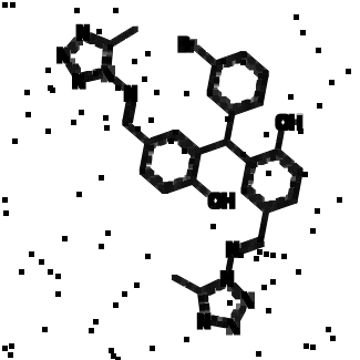 Cc1nnnn1N=Cc1ccc(O)c(C(c2cccc(Br)c2)c2cc(C=Nn3nnnc3C)ccc2O)c1